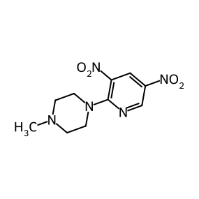 CN1CCN(c2ncc([N+](=O)[O-])cc2[N+](=O)[O-])CC1